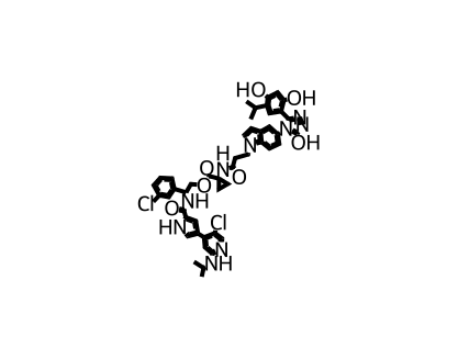 CC(C)Nc1cc(-c2c[nH]c(C(=O)NC(COC(=O)C3(NC(=O)CCn4ccc5cc(-n6c(O)nnc6-c6cc(C(C)C)c(O)cc6O)ccc54)CC3)c3cccc(Cl)c3)c2)c(Cl)cn1